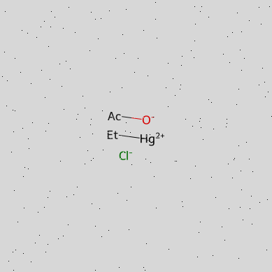 CC(=O)[O-].C[CH2][Hg+2].[Cl-]